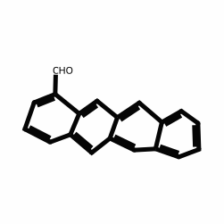 O=Cc1cccc2cc3cc4ccccc4cc3cc12